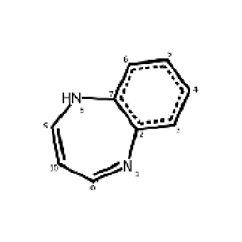 [C]1=Nc2ccccc2NC=C1